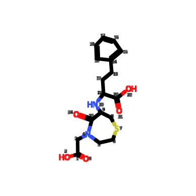 O=C(O)CN1CCSCC(NC(CCc2ccccc2)C(=O)O)C1=O